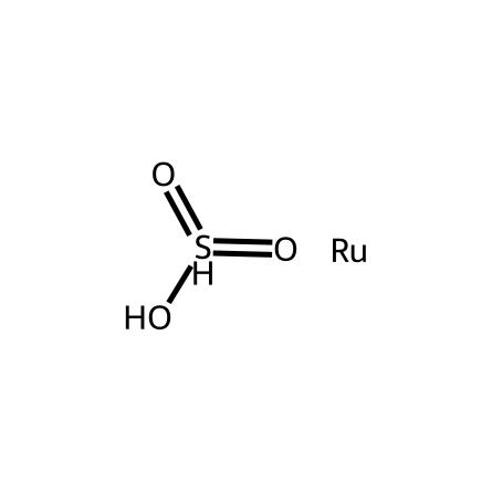 O=[SH](=O)O.[Ru]